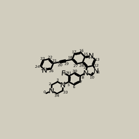 CN1CCN(c2ccc(-n3cnc4cnc5ccc(C#Cc6cccnc6)cc5c43)cc2F)CC1